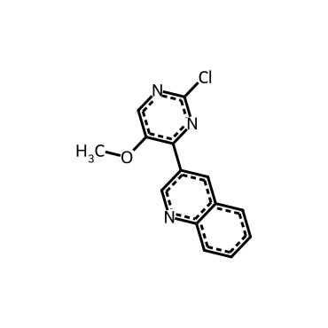 COc1cnc(Cl)nc1-c1cnc2ccccc2c1